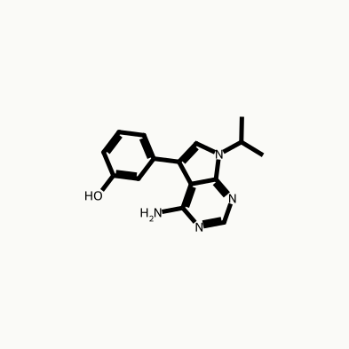 CC(C)n1cc(-c2cccc(O)c2)c2c(N)ncnc21